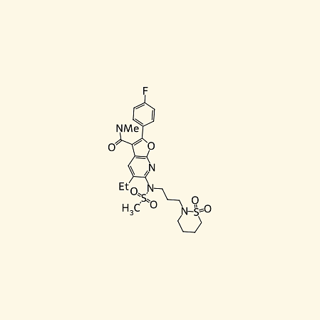 CCc1cc2c(C(=O)NC)c(-c3ccc(F)cc3)oc2nc1N(CCCN1CCCCS1(=O)=O)S(C)(=O)=O